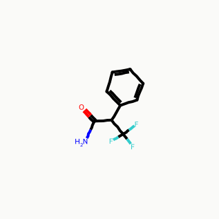 NC(=O)C(c1ccccc1)C(F)(F)F